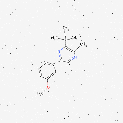 COc1cccc(-c2cnc(C)c(C(C)(C)C)n2)c1